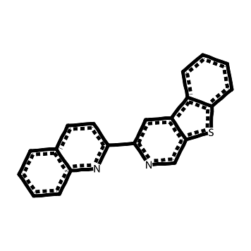 c1ccc2nc(-c3cc4c(cn3)sc3ccccc34)ccc2c1